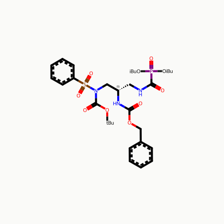 CC(C)COP(=O)(OCC(C)C)C(=O)NC[C@@H](CN(C(=O)OC(C)(C)C)S(=O)(=O)c1ccccc1)NC(=O)OCc1ccccc1